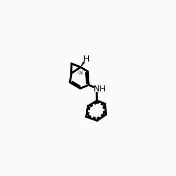 C1=CC2C[C@@H]2C=C1Nc1ccccc1